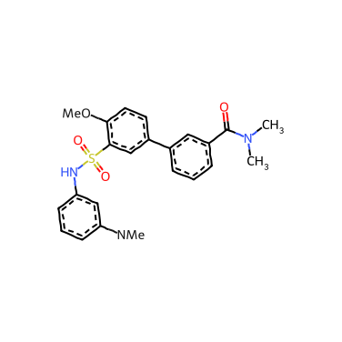 CNc1cccc(NS(=O)(=O)c2cc(-c3cccc(C(=O)N(C)C)c3)ccc2OC)c1